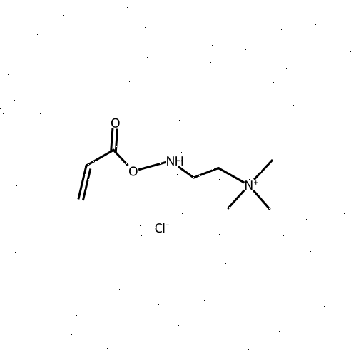 C=CC(=O)ONCC[N+](C)(C)C.[Cl-]